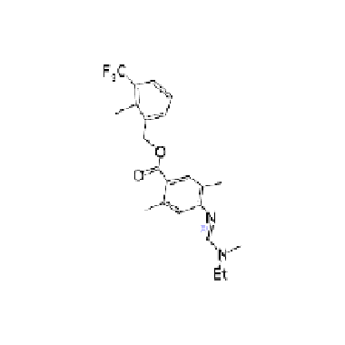 CCN(C)/C=N/c1cc(C)c(C(=O)OCc2cccc(C(F)(F)F)c2C)cc1C